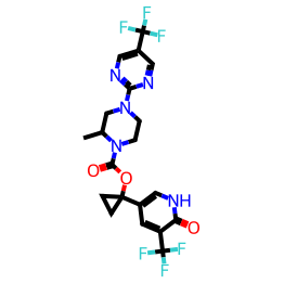 CC1CN(c2ncc(C(F)(F)F)cn2)CCN1C(=O)OC1(c2c[nH]c(=O)c(C(F)(F)F)c2)CC1